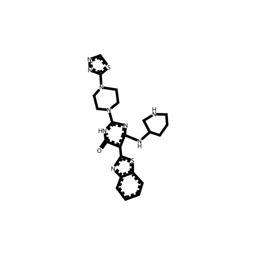 O=c1[nH]c(N2CCN(c3nncs3)CC2)nc(NC2CCCNC2)c1-c1nc2ccccc2s1